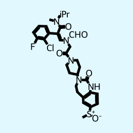 CC(C)N(C)C(=O)/C(=C\N(C=O)CC(=O)N1CCC(N2CCc3cc([S+](C)[O-])ccc3NC2=O)CC1)c1cccc(F)c1Cl